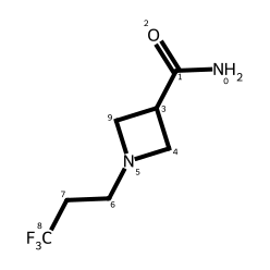 NC(=O)C1CN(CCC(F)(F)F)C1